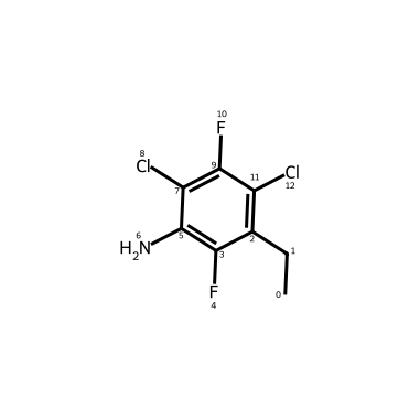 CCc1c(F)c(N)c(Cl)c(F)c1Cl